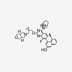 C#Cc1cccc2cc(O)cc(-c3c(C)cc4c(N5CC6CCC(C5)N6)nc(OCC5(CN6C[C@H]7COC[C@H]7C6)CC5)nc4c3F)c12